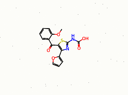 COc1ccccc1C(=O)c1sc(NC(=O)O)nc1-c1ccco1